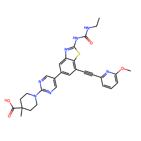 CCNC(=O)Nc1nc2cc(-c3cnc(N4CCC(C)(C(=O)O)CC4)nc3)cc(C#Cc3cccc(OC)n3)c2s1